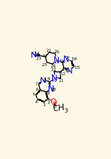 COc1cccc2cnc(N3CC(c4nccnc4N4CCC(C#N)CC4)C3)nc12